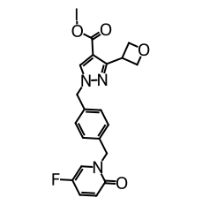 O=C(OI)c1cn(Cc2ccc(Cn3cc(F)ccc3=O)cc2)nc1C1COC1